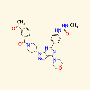 CNC(=O)Nc1ccc(-c2nc(N3CCOCC3)c3cnn(C4CCN(C(=O)c5cccc(C(C)=O)c5)CC4)c3n2)cc1